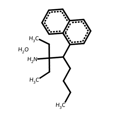 CCCCC(c1cccc2ccccc12)C(N)(CC)CC.O